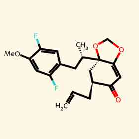 C=CC[C@H]1C[C@]2([C@@H](C)Cc3cc(F)c(OC)cc3F)OCOC2=CC1=O